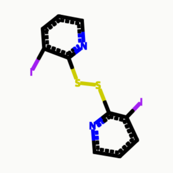 Ic1cccnc1SSc1ncccc1I